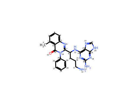 Cc1cccc2nc(C(CCCN)Nc3nc(N)nc4[nH]cnc34)n(-c3ccccc3)c(=O)c12